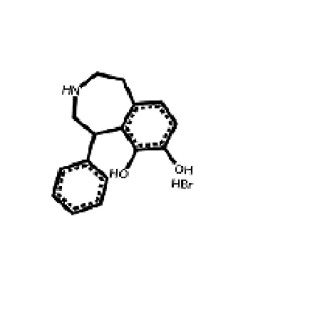 Br.Oc1ccc2c(c1O)C(c1ccccc1)CNCC2